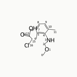 COCNc1c(C)cccc1C.O=C(O)CCl